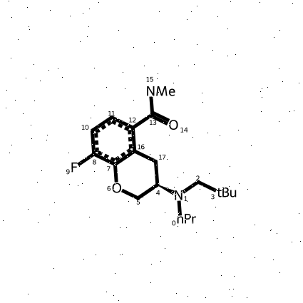 CCCN(CC(C)(C)C)[C@H]1COc2c(F)ccc(C(=O)NC)c2C1